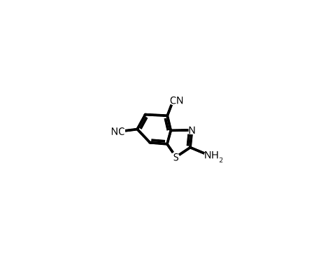 N#Cc1cc(C#N)c2nc(N)sc2c1